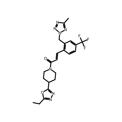 CCc1nnc(C2CCN(C(=O)C=Cc3ccc(C(F)(F)F)cc3Cn3nnc(C)n3)CC2)o1